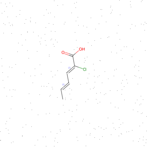 C/C=C/C=C(\Cl)C(=O)O